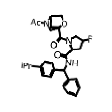 CC(=O)N1CC2(C(=O)N3CC(F)CC3C(=O)NC(c3ccccc3)c3ccc(C(C)C)cc3)CC1CO2